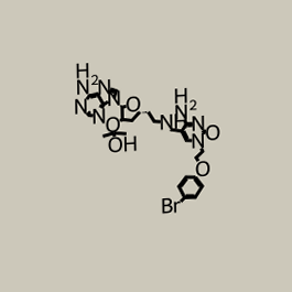 CC(C)(O)OC1C[C@@H](CCNCc2cn(CCOc3ccc(Br)cc3)c(=O)nc2N)O[C@H]1n1cnc2c(N)ncnc21